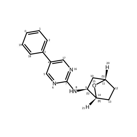 c1ccc(-c2cnc(N[C@H]3C[C@@H]4CC[C@H]3O4)nc2)cc1